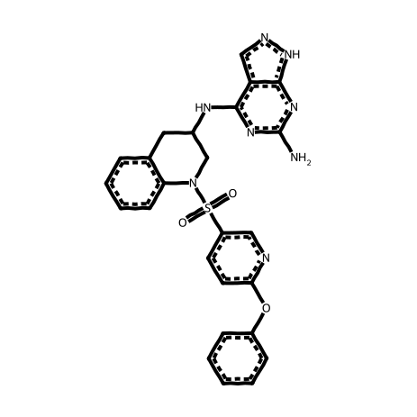 Nc1nc(NC2Cc3ccccc3N(S(=O)(=O)c3ccc(Oc4ccccc4)nc3)C2)c2cn[nH]c2n1